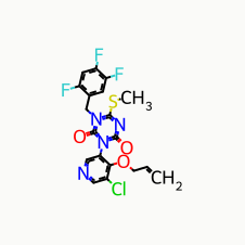 C=CCOc1c(Cl)cncc1-n1c(=O)nc(SC)n(Cc2cc(F)c(F)cc2F)c1=O